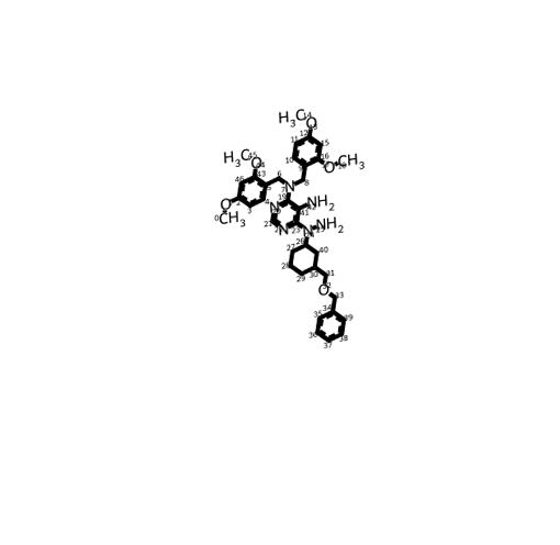 COc1ccc(CN(Cc2ccc(OC)cc2OC)c2ncnc(N(N)C3CCCC(COCc4ccccc4)C3)c2N)c(OC)c1